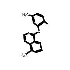 Cc1ccc(F)c(Oc2nccc3c([N+](=O)[O-])cccc23)c1